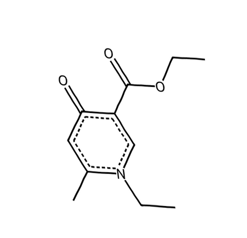 CCOC(=O)c1cn(CC)c(C)cc1=O